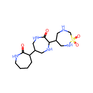 O=C1NCCCCC1C1CNC(=O)C(C2CNCS(=O)(=O)NC2)NC1